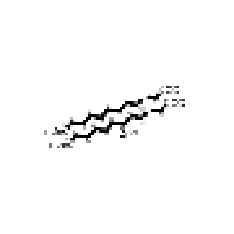 CCCCCCCCCCCCCCCCCCSCC(=O)[O-].CCCCCCCCCCCCCCCCCCSCC(=O)[O-].[Zn+2]